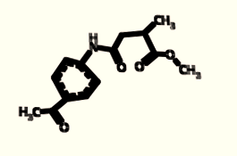 COC(=O)C(C)CC(=O)Nc1ccc(C(C)=O)cc1